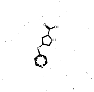 O=C(O)[C@@H]1C[C@H](Oc2ccncc2)CN1